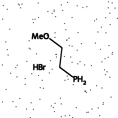 Br.COCCP